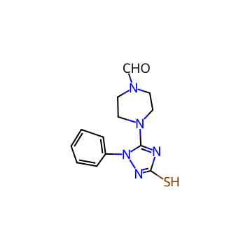 O=CN1CCN(c2nc(S)nn2-c2ccccc2)CC1